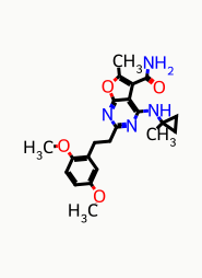 COc1ccc(OC)c(CCc2nc(NC3(C)CC3)c3c(C(N)=O)c(C)oc3n2)c1